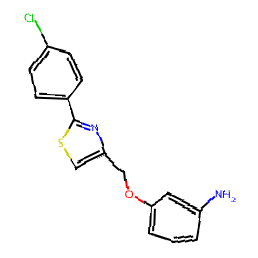 Nc1cccc(OCc2csc(-c3ccc(Cl)cc3)n2)c1